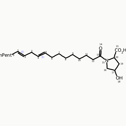 CCCCC/C=C/C/C=C/CCCCCCCC(=O)N1CC(O)CC1C(=O)O